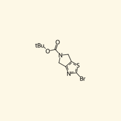 CC(C)(C)OC(=O)N1Cc2nc(Br)sc2C1